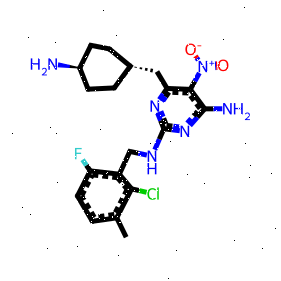 Cc1ccc(F)c(CNc2nc(N)c([N+](=O)[O-])c(C[C@H]3CC[C@H](N)CC3)n2)c1Cl